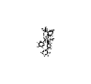 O=C(Nc1onc(-c2ccncc2)c1-c1ccccc1C(=O)O)c1cccc(C(F)(F)F)c1